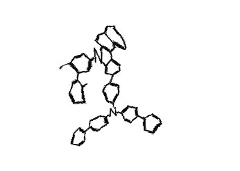 Cc1ccccc1-c1cc(-n2c3cc(-c4ccc(N(c5ccc(-c6ccccc6)cc5)c5ccc(-c6ccccc6)cc5)cc4)ccc3c3c4ccccc4ccc32)ccc1C